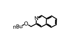 CCCCOCc1cc2ccccc2cn1